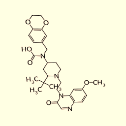 COc1ccc2ncc(=O)n(CCN3CCC(N(Cc4ccc5c(c4)OCCO5)C(=O)O)CC3C(C)(C)C)c2c1